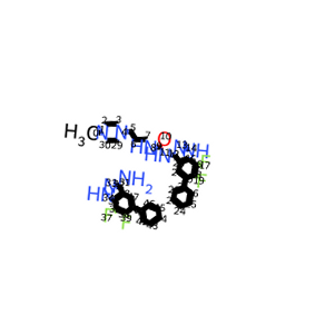 CN1CCN(CCCNC(=O)Nc2n[nH]c3c(F)c(F)c(-c4ccccc4)cc23)CC1.Nc1n[nH]c2c(F)c(F)c(-c3ccccc3)cc12